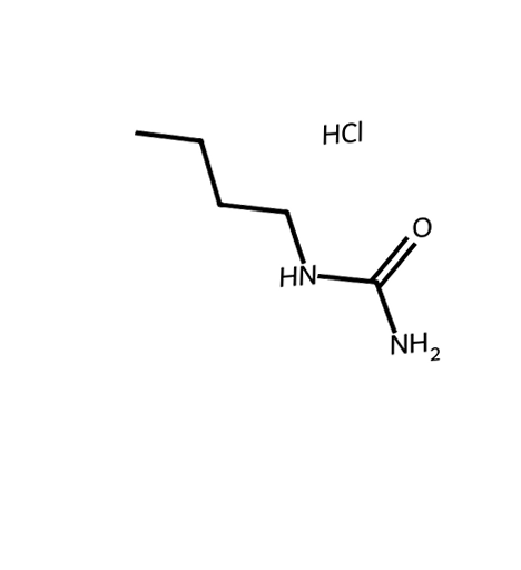 CCCCNC(N)=O.Cl